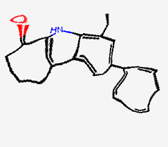 Cc1cc(-c2ccccc2)cc2c3c([nH]c12)C(=O)CCC3